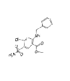 COC(=O)c1cc(S(N)(=O)=O)c(Cl)cc1NCc1ccccc1